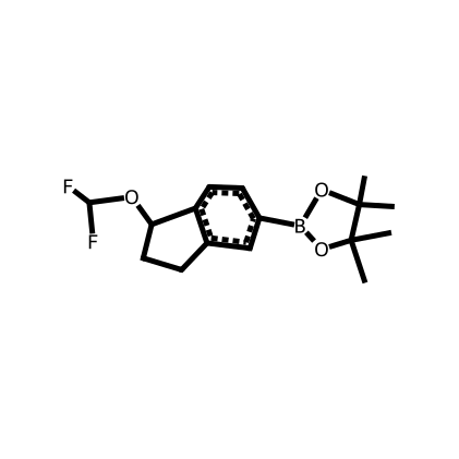 CC1(C)OB(c2ccc3c(c2)CCC3OC(F)F)OC1(C)C